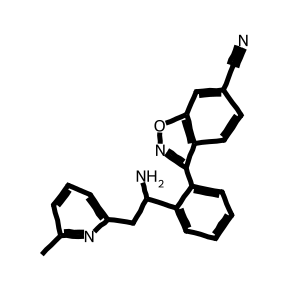 Cc1cccc(CC(N)c2ccccc2-c2noc3cc(C#N)ccc23)n1